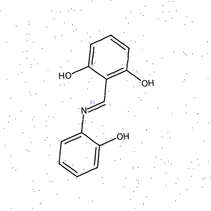 Oc1ccccc1/N=C/c1c(O)cccc1O